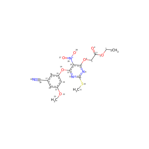 CCOC(=O)COc1nc(SC)nc(Oc2cc(C#N)cc(OC)c2)c1[N+](=O)[O-]